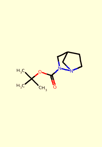 CC(C)(C)OC(=O)N1CC2CCN1C2